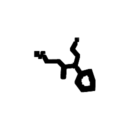 CCCC(=O)N(CCF)c1ccccc1